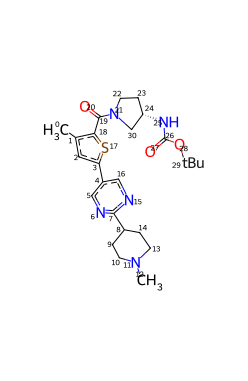 Cc1cc(-c2cnc(C3CCN(C)CC3)nc2)sc1C(=O)N1CC[C@H](NC(=O)OC(C)(C)C)C1